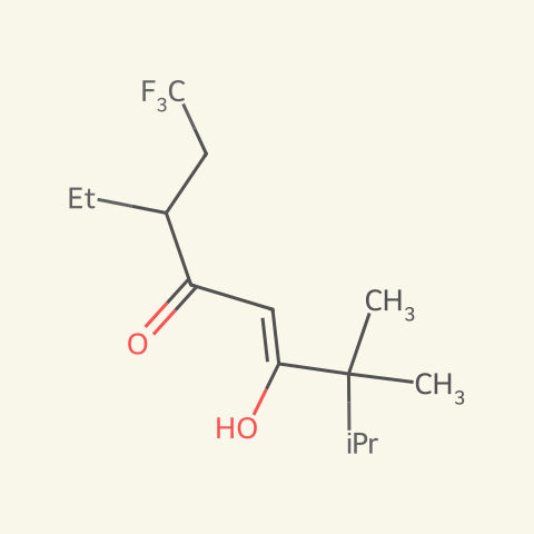 CCC(CC(F)(F)F)C(=O)/C=C(\O)C(C)(C)C(C)C